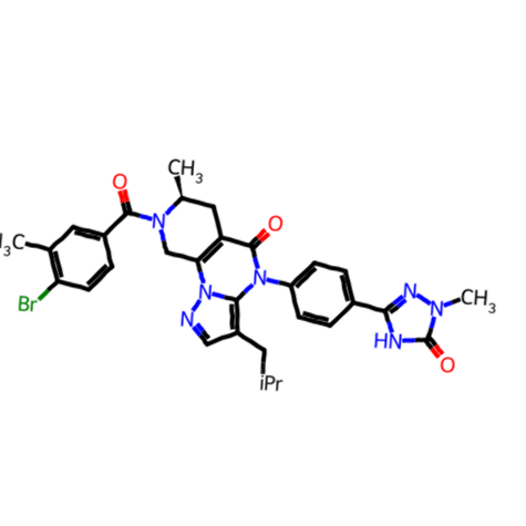 Cc1cc(C(=O)N2Cc3c(c(=O)n(-c4ccc(-c5nn(C)c(=O)[nH]5)cc4)c4c(CC(C)C)cnn34)C[C@@H]2C)ccc1Br